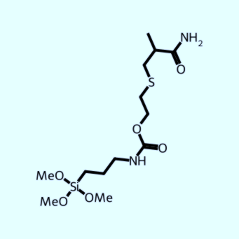 CO[Si](CCCNC(=O)OCCSCC(C)C(N)=O)(OC)OC